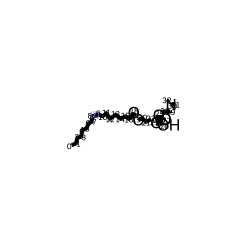 CCCCCCCC/C=C\CCCCCCCC(=O)OCCCOP(=O)(O)OCCN(C)C